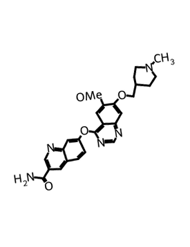 COc1cc2c(Oc3ccc4cc(C(N)=O)cnc4c3)ncnc2cc1OCC1CCN(C)CC1